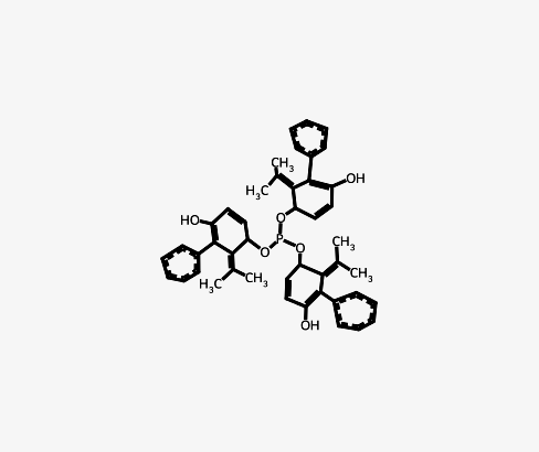 CC(C)=C1C(c2ccccc2)=C(O)C=CC1OP(OC1C=CC(O)=C(c2ccccc2)C1=C(C)C)OC1C=CC(O)=C(c2ccccc2)C1=C(C)C